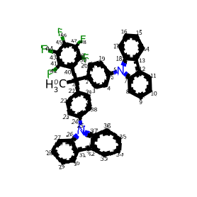 CC(c1ccc(-n2c3ccccc3c3ccccc32)cc1)(c1ccc(-n2c3ccccc3c3ccccc32)cc1)c1c(F)c(F)c(F)c(F)c1F